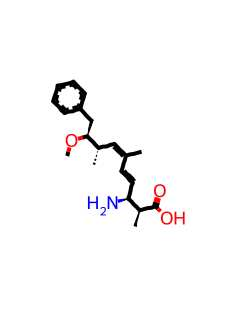 CO[C@@H](Cc1ccccc1)[C@@H](C)C=C(C)C=C[C@H](N)[C@H](C)C(=O)O